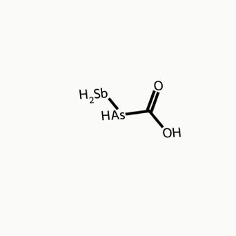 O=C(O)[AsH][SbH2]